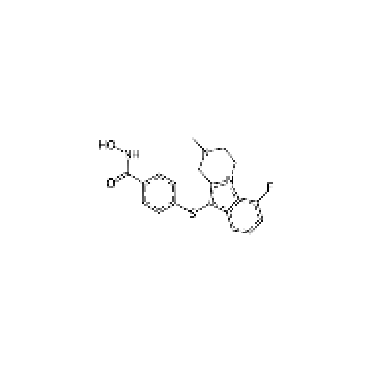 CN1CCn2c(c(Sc3ccc(C(=O)NO)cc3)c3cccc(F)c32)C1